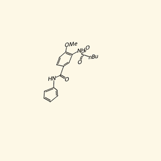 CCCCS(=O)(=O)Nc1cc(C(=O)Nc2ccccc2)ccc1OC